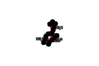 COc1cc(-c2cc(OC(=O)C3C(c4ccccc4)C(C(=O)O)[C@H]3c3ccccc3)c3ccccc3c2)ccc1C1C(C(=O)O)[C@H](c2ccccc2OC)C1C(=O)Oc1cc(-c2ccc(F)cc2)cc(-c2ccc([C@H]3C(C(=O)OCc4ccccc4-c4ccccc4)C(c4ccccc4)[C@@H]3C(=O)O)cc2)c1